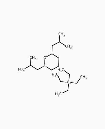 CC(C)CC1CC[CH2][Al]([CH2]C(C)C)[O]1.C[CH2][Pb]([CH2]C)([CH2]C)[CH2]C